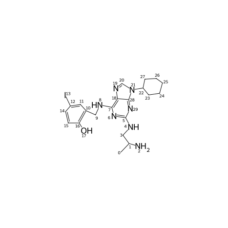 CC(N)CNc1nc(NCc2cc(I)ccc2O)c2ncn(C3CCCCC3)c2n1